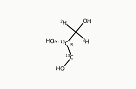 [2H]C([2H])(O)[13C@@H](O)[13CH2]O